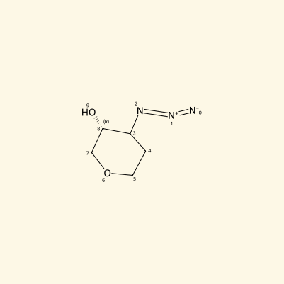 [N-]=[N+]=NC1CCOC[C@@H]1O